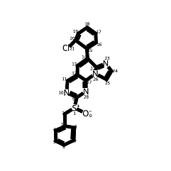 [O-][S+](Cc1ccccc1)c1ncc2cc(-c3ccccc3Cl)c3nccn3c2n1